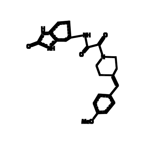 COc1ccc(C=C2CCN(C(=O)C(=O)Nc3ccc4[nH]c(=O)[nH]c4c3)CC2)cc1